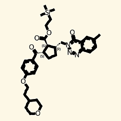 Cc1ccc2nnn(C[C@@H]3CC[C@H](C(=O)c4ccc(OCCC5CCOCC5)cc4)[C@H]3C(=O)OCC[Si](C)(C)C)c(=O)c2c1